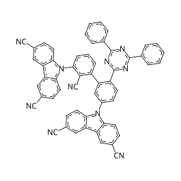 N#Cc1ccc2c(c1)c1cc(C#N)ccc1n2-c1ccc(-c2nc(-c3ccccc3)nc(-c3ccccc3)n2)c(-c2cccc(-n3c4ccc(C#N)cc4c4cc(C#N)ccc43)c2C#N)c1